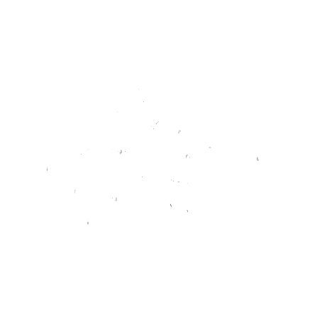 CC(C)C[C@@H]1NC(=O)[C@H](C)NC(=O)C(NC(=O)[C@H](CO)NC(=O)[C@@H](CCCCN)NC(=O)[C@@H](CC(C)C)NC(=O)[C@@H](N)Cc2ccccc2)[C@H](C)NC(=O)[C@H](CC(C)C)NC1=O